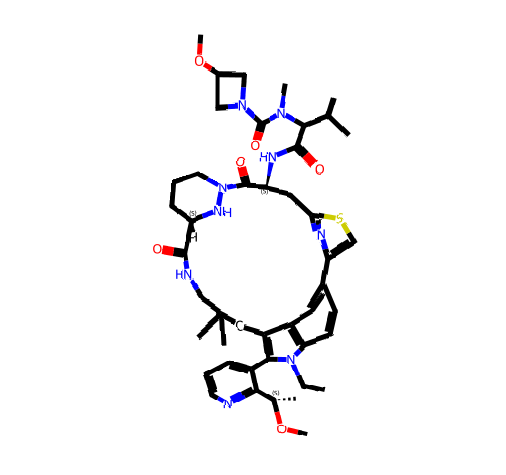 CCn1c(-c2cccnc2[C@H](C)OC)c2c3cc(ccc31)-c1csc(n1)C[C@H](NC(=O)C(C(C)C)N(C)C(=O)N1CC(OC)C1)C(=O)N1CCC[C@H](N1)C(=O)NCC(C)(C)C2